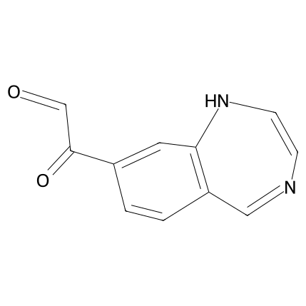 O=CC(=O)c1ccc2c(c1)NC=CN=C2